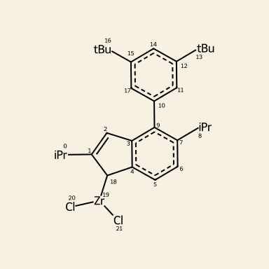 CC(C)C1=Cc2c(ccc(C(C)C)c2-c2cc(C(C)(C)C)cc(C(C)(C)C)c2)[CH]1[Zr]([Cl])[Cl]